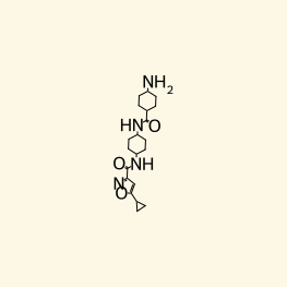 NC1CCC(C(=O)NC2CCC(NC(=O)c3cc(C4CC4)on3)CC2)CC1